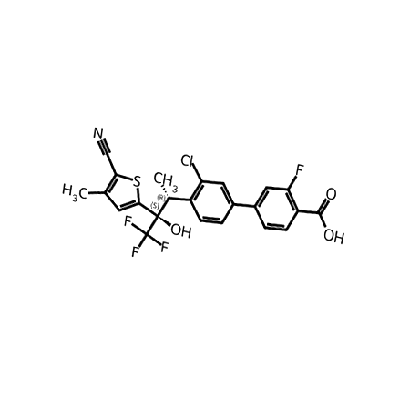 Cc1cc([C@](O)([C@H](C)c2ccc(-c3ccc(C(=O)O)c(F)c3)cc2Cl)C(F)(F)F)sc1C#N